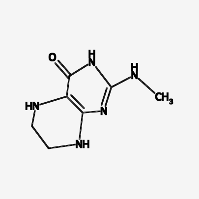 CNc1nc2c(c(=O)[nH]1)NCCN2